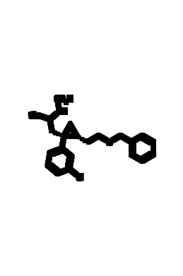 CC(C)(C)C(C[C@]1(c2cccc(Cl)c2)C[C@@H]1CCOCc1ccccc1)NC(=O)O